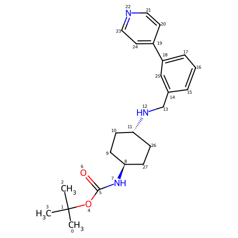 CC(C)(C)OC(=O)N[C@H]1CC[C@H](NCc2cccc(-c3ccncc3)c2)CC1